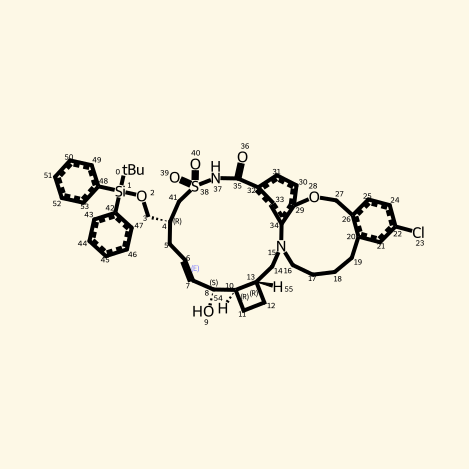 CC(C)(C)[Si](OC[C@H]1C/C=C/[C@@H](O)[C@@H]2CC[C@H]2CN2CCCCc3cc(Cl)ccc3COc3ccc(cc32)C(=O)NS(=O)(=O)C1)(c1ccccc1)c1ccccc1